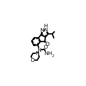 CC(C)c1[nH]nc2c1C(=O)c1c-2cccc1N(C(N)=O)N1CCOCC1